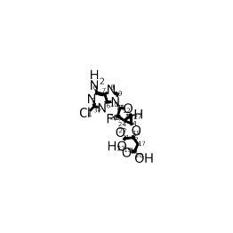 Nc1nc(Cl)nc2c1ncn2[C@@H]1O[C@@H]2C(OC(CC(=O)O)C(=O)O)C2[C@@H]1F